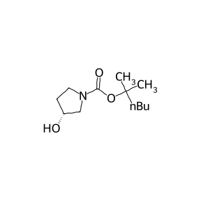 CCCCC(C)(C)OC(=O)N1CC[C@@H](O)C1